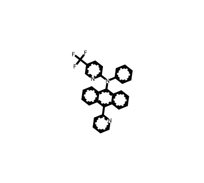 FC(F)(F)c1ccc(N(c2ccccc2)c2c3ccccc3c(-c3ccccn3)c3ccccc23)nc1